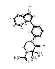 CC(=O)N1CCN(c2cccc(-c3cc(I)c4[c]ncnn34)c2)C(=O)C1(C)C